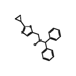 [O-][S+](Cc1cnc(C2CC2)s1)C(c1ccccc1)c1ccccc1